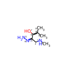 CNC/C(=N/N)C(O)=C(C)C